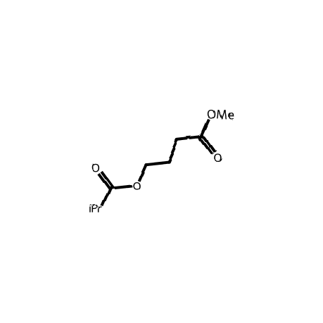 COC(=O)CCCOC(=O)C(C)C